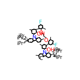 Cc1cc(-c2cc(F)cc(C)c2OCCCOc2c(C)cc(F)cc2-c2cc(C)cc(-n3c4cc(C)ccc4c4ccc([Si](CC(C)C)(CC(C)C)CC(C)C)cc43)c2O)c(O)c(-n2c3cc(C)ccc3c3ccc([Si](CC(C)C)(CC(C)C)CC(C)C)cc32)c1